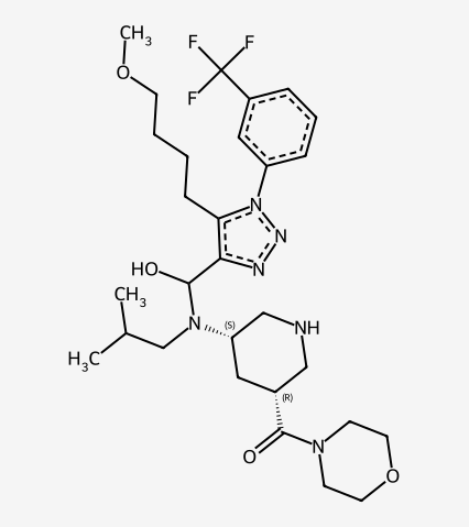 COCCCCc1c(C(O)N(CC(C)C)[C@@H]2CNC[C@H](C(=O)N3CCOCC3)C2)nnn1-c1cccc(C(F)(F)F)c1